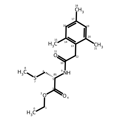 CCOC(=O)[C@H](CSC)NC(=O)Cc1c(C)cc(C)cc1C